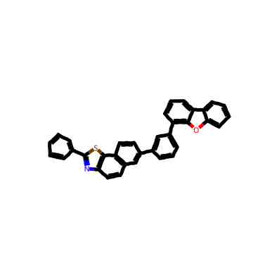 c1ccc(-c2nc3ccc4cc(-c5cccc(-c6cccc7c6oc6ccccc67)c5)ccc4c3s2)cc1